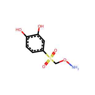 NOCS(=O)(=O)c1ccc(O)c(O)c1